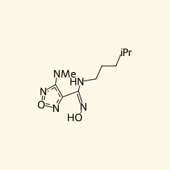 CNc1nonc1/C(=N\O)NCCCC(C)C